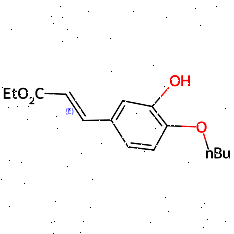 CCCCOc1ccc(/C=C/C(=O)OCC)cc1O